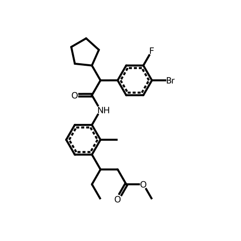 CCC(CC(=O)OC)c1cccc(NC(=O)C(c2ccc(Br)c(F)c2)C2CCCC2)c1C